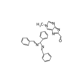 C(=NC(N=Cc1ccccc1)c1ccccc1)c1ccccc1.Cn1cnc2nc(C=O)nc-2c1